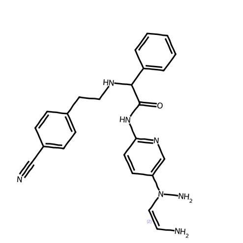 N#Cc1ccc(CCNC(C(=O)Nc2ccc(N(N)/C=C\N)cn2)c2ccccc2)cc1